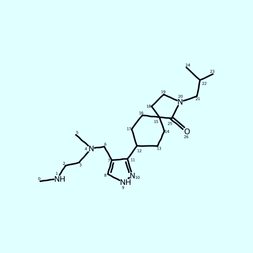 CNCCN(C)Cc1c[nH]nc1C1CCC2(CC1)CCN(CC(C)C)C2=O